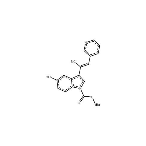 CC(C)(C)OC(=O)n1cc(/C(C#N)=C/c2cccnc2)c2cc(O)ccc21